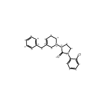 O=C1N(c2ccccc2Cl)CCN1N1CCC=C(Cc2ccccc2)C1